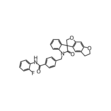 O=C(Nc1ccccc1F)c1ccc(CN2C(=O)C3(COc4cc5c(cc43)CCO5)c3ccccc32)cc1